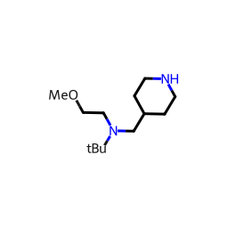 COCCN(CC1CCNCC1)C(C)(C)C